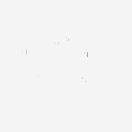 CN1C(=O)N(C)C(=O)C(C)(C(=O)C(=O)O)C1=O